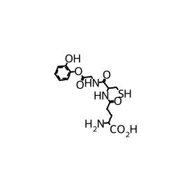 NC(CCC(=O)NC(CS)C(=O)NCC(=O)Oc1ccccc1O)C(=O)O